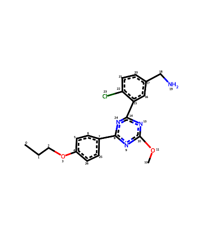 CCCOc1ccc(-c2nc(OC)nc(-c3cc(CN)ccc3Cl)n2)cc1